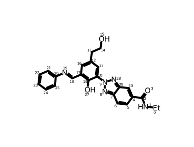 CCNC(=O)c1ccc2nn(-c3cc(CCO)cc(C=Nc4ccccc4)c3O)nc2c1